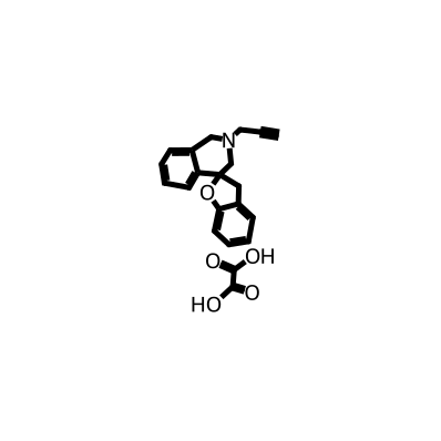 C#CCN1Cc2ccccc2C2(Cc3ccccc3O2)C1.O=C(O)C(=O)O